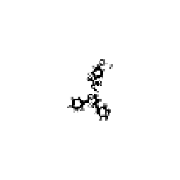 Cc1ccc(S(=O)(=O)OC[C@H](CCc2cccnc2)OC(=O)c2ccccc2)cc1